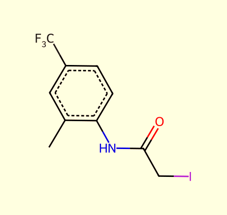 Cc1cc(C(F)(F)F)ccc1NC(=O)CI